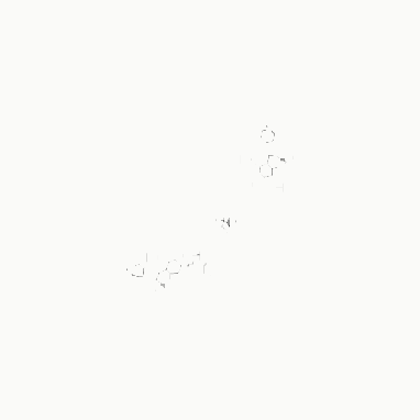 CC(C)(CCCCCCO[N+](=O)OCCCCCCC(C)(C)c1cc(O)c2c(Cc3ccncc3)cc(=O)oc2c1)c1cc(O)c2c(Cc3ccncc3)cc(=O)oc2c1